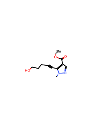 Cn1ncc(C(=O)OC(C)(C)C)c1C#CCCCO